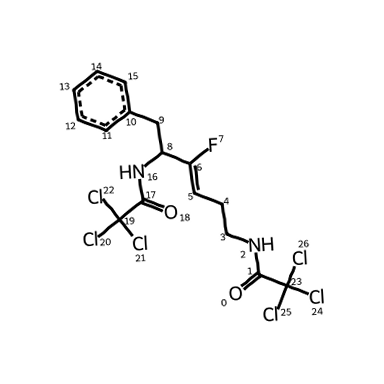 O=C(NCC/C=C(\F)C(Cc1ccccc1)NC(=O)C(Cl)(Cl)Cl)C(Cl)(Cl)Cl